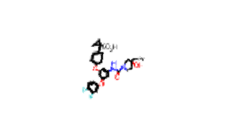 CC(C)CC1(O)CCN(C(=O)Nc2cc(Oc3ccc(C4(C(=O)O)CC4)cc3)cc(Oc3ccc(F)c(F)c3)c2)CC1